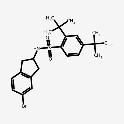 CC(C)(C)c1ccc(S(=O)(=O)NC2Cc3ccc(Br)cc3C2)c(C(C)(C)C)c1